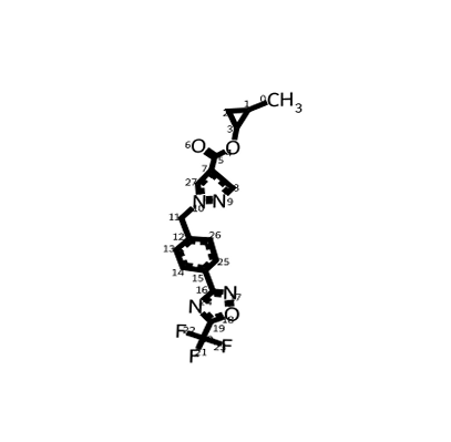 CC1CC1OC(=O)c1cnn(Cc2ccc(-c3noc(C(F)(F)F)n3)cc2)c1